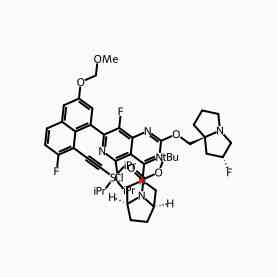 COCOc1cc(-c2nc(Cl)c3c(N4C[C@H]5CC[C@@H](C4)N5C(=O)OC(C)(C)C)nc(OC[C@@]45CCCN4C[C@H](F)C5)nc3c2F)c2c(C#C[Si](C(C)C)(C(C)C)C(C)C)c(F)ccc2c1